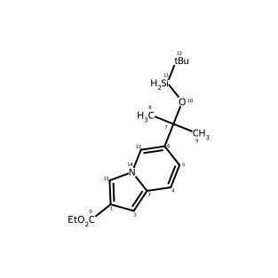 CCOC(=O)c1cc2ccc(C(C)(C)O[SiH2]C(C)(C)C)cn2c1